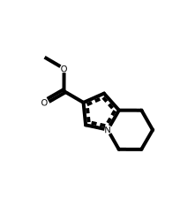 COC(=O)c1cc2n(c1)CCCC2